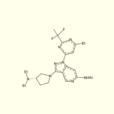 CCc1cc(-n2nc(N3CC[C@H](N(CC)CC)C3)c3cnc(NC(C)=O)cc32)nc(C(C)(F)F)n1